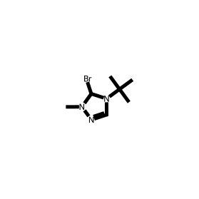 CN1N=CN(C(C)(C)C)C1Br